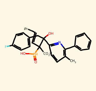 Cc1ccc(C(O)(Cc2ccc(F)cc2)C(C=CC(C)C)(C(=O)O)[PH](=O)O)nc1-c1ccccc1